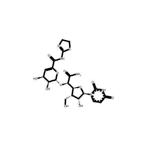 NC(=O)[C@H](O[C@H]1OC(C(=O)NC2=NCCS2)=C[C@H](O)[C@@H]1O)[C@H]1O[C@@H](n2ccc(=O)[nH]c2=O)[C@H](O)[C@@H]1CO